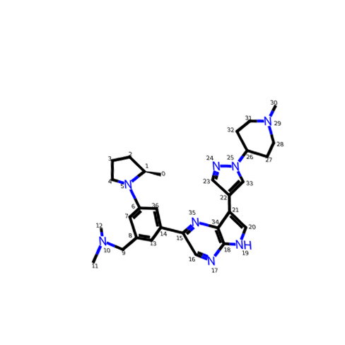 C[C@@H]1CCCN1c1cc(CN(C)C)cc(-c2cnc3[nH]cc(-c4cnn(C5CCN(C)CC5)c4)c3n2)c1